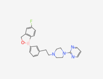 Fc1ccc2c(c1)COB2c1cccc(CCN2CCN(c3ncccn3)CC2)c1